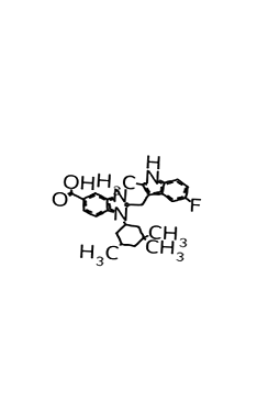 Cc1[nH]c2ccc(F)cc2c1Cc1nc2cc(C(=O)O)ccc2n1C1C[C@H](C)CC(C)(C)C1